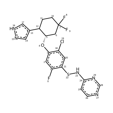 Fc1cc(O[C@H]2CC(F)(F)CCC2c2cn[nH]c2)c(Cl)cc1SNc1ccncn1